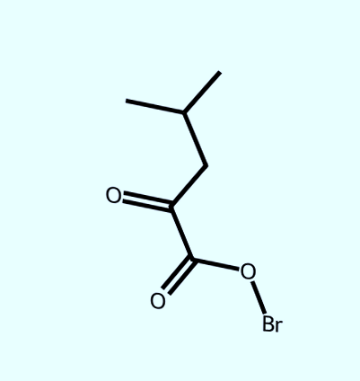 CC(C)CC(=O)C(=O)OBr